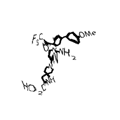 COc1ccc(-c2ccc([C@@H](Oc3cc(N4CCC5(CC4)CN[C@H](C(=O)O)C5)nc(N)n3)C(F)(F)F)cc2)cc1